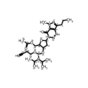 CCCc1nn(C)c2c(=O)n(C3CC(OP(OCCC#N)N(C(C)C)C(C)C)C(COC(C)=O)O3)nnc12